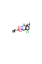 CCCC(=O)ONCc1ccccc1Cl.[NaH]